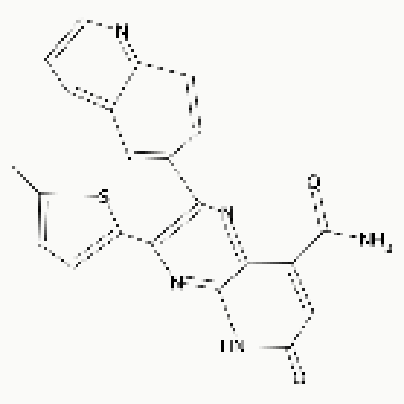 Cc1ccc(-c2nc3[nH]c(=O)cc(C(N)=O)c3nc2-c2ccc3ncccc3c2)s1